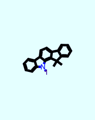 CC1(C)c2ccccc2-c2ccc3c4ccccc4n(I)c3c21